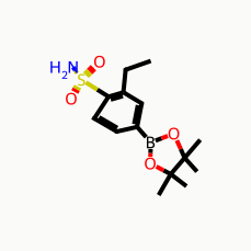 CCc1cc(B2OC(C)(C)C(C)(C)O2)ccc1S(N)(=O)=O